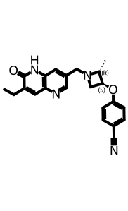 CCc1cc2ncc(CN3C[C@H](Oc4ccc(C#N)cc4)[C@H]3C)cc2[nH]c1=O